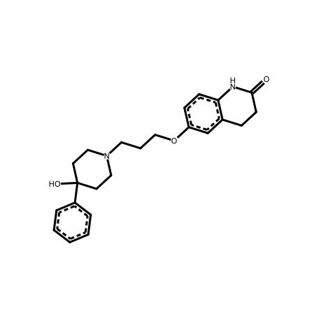 O=C1CCc2cc(OCCCN3CCC(O)(c4ccccc4)CC3)ccc2N1